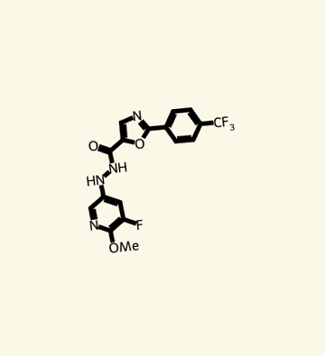 COc1ncc(NNC(=O)c2cnc(-c3ccc(C(F)(F)F)cc3)o2)cc1F